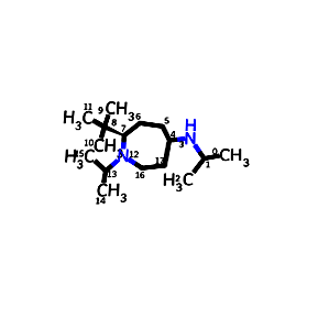 CC(C)NC1CC[C@H](C(C)(C)C)N(C(C)C)CC1